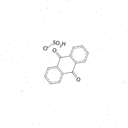 O=C1c2ccccc2C(=O)c2ccccc21.O=S(=O)(O)Cl